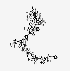 CC[C@H](C)C(C(CC(=O)N1CCCC1C(OC)C(C)C(=O)N[C@@H](Cc1ccccc1)C(=O)NCCc1ccc(NC(=O)C(CCCNC(N)=O)NC(=O)[C@H](NC(=O)C[C@@H]2O[C@H](CNC(=O)CC3OC(CNC(=O)C[C@@H]4O[C@H](CNC(=O)OCc5ccccc5)C(O)C4O)[C@@H](O)[C@H]3O)C(O)C2O)C(C)C)cc1)OC)N(C)C(=O)[C@@H](NC(=O)C(C(C)C)N(C)C)C(C)C